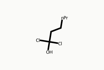 CCCCCC(O)(Cl)Cl